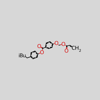 C=CC(=O)OCOc1ccc(C(=O)Oc2ccc(CC(C)CC)cc2)cc1